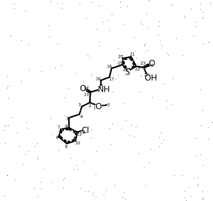 COC(CCCc1ccccc1Cl)C(=O)NCCCc1ccc(C(=O)O)s1